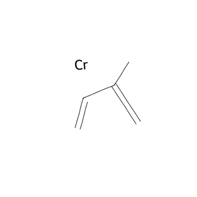 C=CC(=C)C.[Cr]